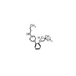 CCCNN1CCN(c2ccccc2OCC(C)(C)C)CC1